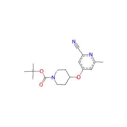 Cc1cc(OC2CCN(C(=O)OC(C)(C)C)CC2)cc(C#N)n1